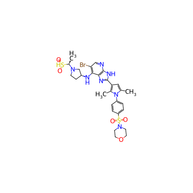 Cc1cc(-c2nc3c(N[C@H]4CCN([C@H](C)[SH](=O)=O)C4)c(Br)cnc3[nH]2)c(C)n1-c1ccc(S(=O)(=O)N2CCOCC2)cc1